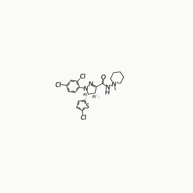 C[C@H]1C(C(=O)N[N+]2(C)CCCCC2)=NN(c2ccc(Cl)cc2Cl)[C@H]1c1ccc(Cl)s1